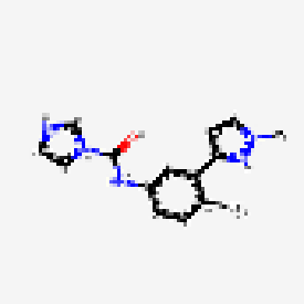 Cn1ccc(-c2cc(NC(=O)n3ccnc3)ccc2C(F)(F)F)n1